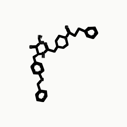 CC(C)NC(=O)[C@H](Cc1ccc(OCc2ccccc2)cc1)NC(=O)CC1CCN(C(=O)CCc2ccccc2)CC1